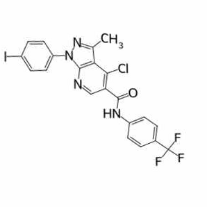 Cc1nn(-c2ccc(I)cc2)c2ncc(C(=O)Nc3ccc(C(F)(F)F)cc3)c(Cl)c12